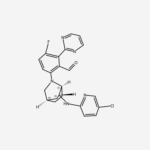 O=Cc1c(N2C[C@@H]3CC[C@H]2[C@H](Nc2ccc(Cl)cn2)C3)ccc(F)c1-c1ncccn1